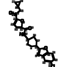 O=C(NC1CCC(c2nc3cc(Cl)ccc3o2)CC1)c1ccc([S+]([O-])CC2CC2)o1